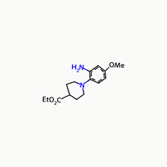 CCOC(=O)C1CCN(c2ccc(OC)cc2N)CC1